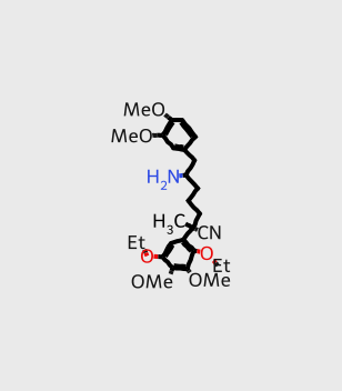 CCOc1cc(C(C)(C#N)CCCC(N)Cc2ccc(OC)c(OC)c2)c(OCC)c(OC)c1OC